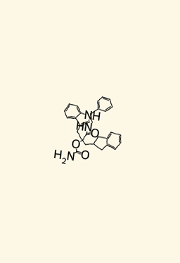 NC(=O)OC(Cc1c[nH]c2ccccc12)(CC1Cc2ccccc2C1)C(=O)NCCc1ccccc1